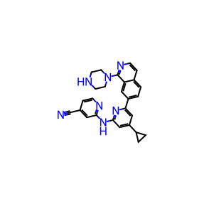 N#Cc1ccnc(Nc2cc(C3CC3)cc(-c3ccc4ccnc(N5CCNCC5)c4c3)n2)c1